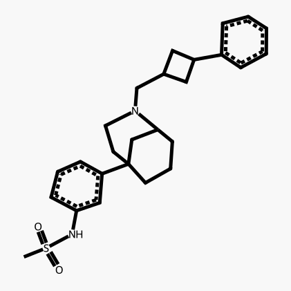 CS(=O)(=O)Nc1cccc(C23CCCC(C2)N(CC2CC(c4ccccc4)C2)CC3)c1